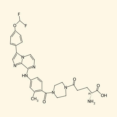 Cc1cc(Nc2nccn3c(-c4ccc(OC(F)F)cc4)cnc23)ccc1C(=O)N1CCN(C(=O)CC[C@@H](N)C(=O)O)CC1